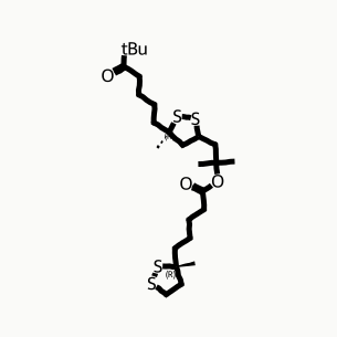 CC(C)(CC1C[C@@](C)(CCCCC(=O)C(C)(C)C)SS1)OC(=O)CCCC[C@]1(C)CCSS1